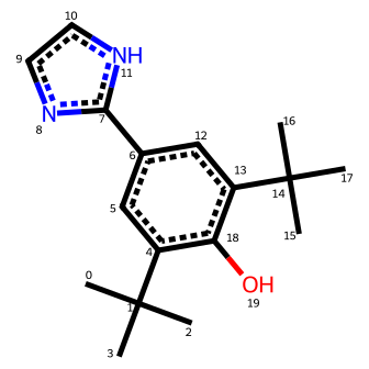 CC(C)(C)c1cc(-c2ncc[nH]2)cc(C(C)(C)C)c1O